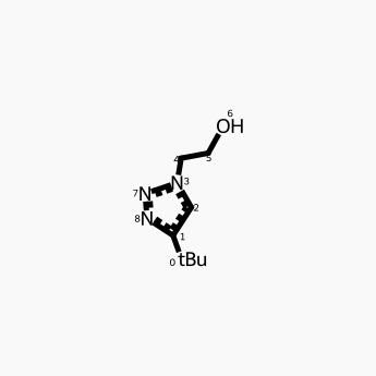 CC(C)(C)c1cn(CCO)nn1